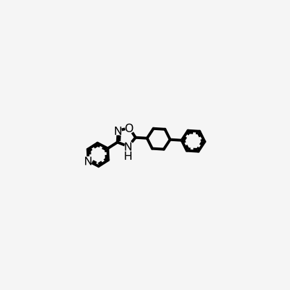 c1ccc(C2CCC(C3NC(c4ccncc4)=NO3)CC2)cc1